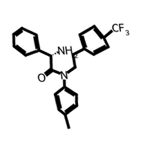 Cc1ccc(N(CCc2ccc(C(F)(F)F)cc2)C(=O)[C@@H](N)c2ccccc2)cc1